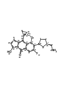 COc1c(N2CC[C@@H](CN)C2)c(F)cc2c(=O)c3c(O)csc3n(C3CC3)c12